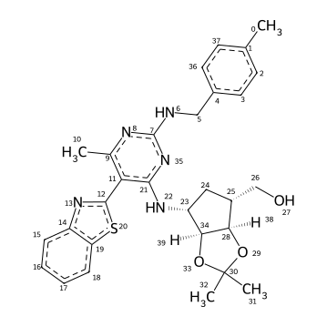 Cc1ccc(CNc2nc(C)c(-c3nc4ccccc4s3)c(N[C@@H]3C[C@H](CO)[C@H]4OC(C)(C)O[C@H]43)n2)cc1